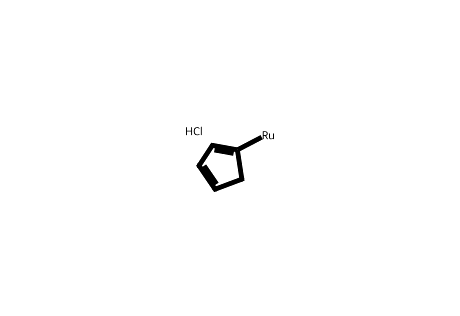 Cl.[Ru][C]1=CC=CC1